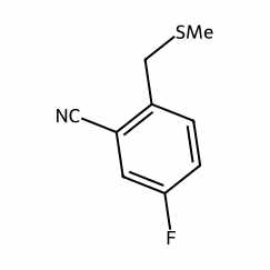 CSCc1ccc(F)cc1C#N